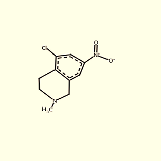 CN1CCc2c(Cl)cc([N+](=O)[O-])cc2C1